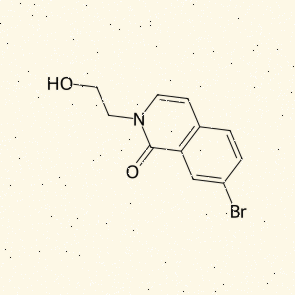 O=c1c2cc(Br)ccc2ccn1CCO